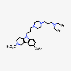 CCOC(=O)N1CCc2c(c3cc(OC)ccc3n2CCCN2CCN(CCCN(CC(C)C)CC(C)C)CC2)C1